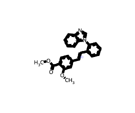 COC(=O)c1ccc(/C=C/c2ccccc2-n2cnc3ccccc32)cc1OC